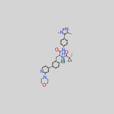 Cc1ncn(C)c1-c1ccc(NC(=O)C(Cc2cc(-c3ccnc(N4CCOCC4)c3)ccc2Cl)NC(=O)C2(F)CC2)cc1